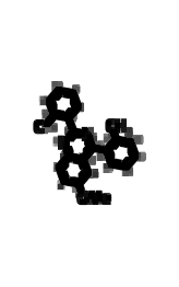 COc1ccc2nc(-c3ccccc3Cl)nc(-c3ccccc3C)c2c1